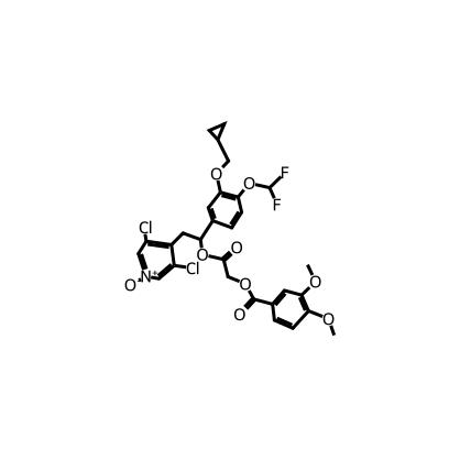 COc1ccc(C(=O)OCC(=O)OC(Cc2c(Cl)c[n+]([O-])cc2Cl)c2ccc(OC(F)F)c(OCC3CC3)c2)cc1OC